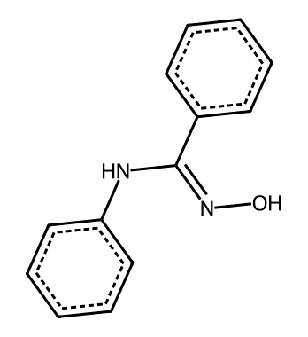 ON=C(Nc1ccccc1)c1ccccc1